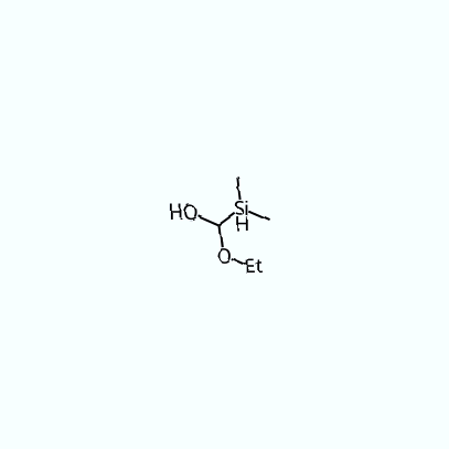 CCOC(O)[SiH](C)C